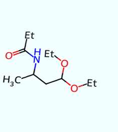 CCOC(CC(C)NC(=O)CC)OCC